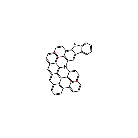 c1ccc(-c2cccc3cccc(-c4ccccc4N(c4cccc5ccccc45)c4cc5c6ccccc6sc5c5ccccc45)c23)cc1